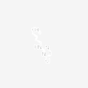 CCCCCNc1nccc(Cl)n1